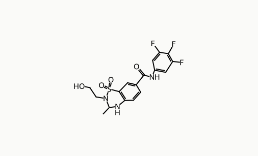 CC1Nc2ccc(C(=O)Nc3cc(F)c(F)c(F)c3)cc2S(=O)(=O)N1CCO